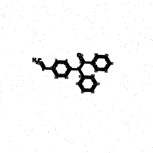 C=Cc1ccc(C(C(=O)c2ccccc2)c2ccccc2)cc1